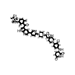 CCN(C)S(=O)(=O)Nc1ccc(F)c(C(=O)c2c[nH]c3ncc(-c4ccc(N5CCN(C(=O)CC6(O)CCN(c7ccc(N[C@H]8CCC(=O)NC8=O)cc7Cl)CC6)CC5)nc4)cc23)c1F